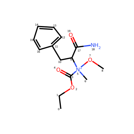 CCOC(=O)[N+](C)(OC)C(Cc1ccccc1)C(N)=O